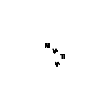 [Ni].[Ti].[V].[V]